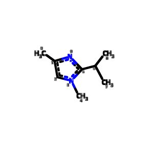 Cc1cn(C)c(C(C)C)n1